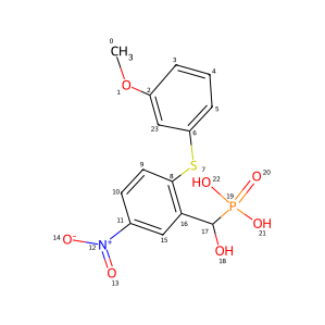 COc1cccc(Sc2ccc([N+](=O)[O-])cc2C(O)P(=O)(O)O)c1